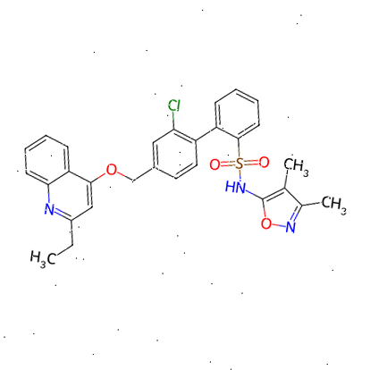 CCc1cc(OCc2ccc(-c3ccccc3S(=O)(=O)Nc3onc(C)c3C)c(Cl)c2)c2ccccc2n1